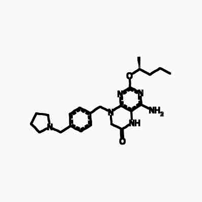 CCC[C@H](C)Oc1nc(N)c2c(n1)N(Cc1ccc(CN3CCCC3)cc1)CC(=O)N2